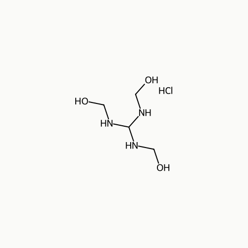 Cl.OCNC(NCO)NCO